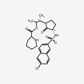 CC(OC(=O)C1CCCCN1)[C@H](C)N1CC[C@H](NS(=O)(=O)c2ccc3cc(Cl)ccc3c2)C1=O